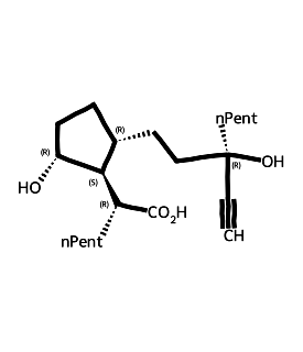 C#C[C@@](O)(CCCCC)CC[C@H]1CC[C@@H](O)[C@@H]1[C@@H](CCCCC)C(=O)O